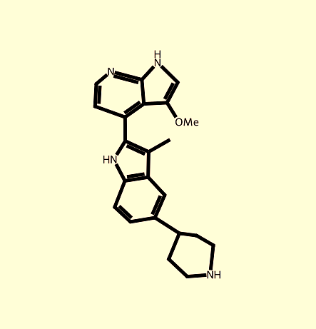 COc1c[nH]c2nccc(-c3[nH]c4ccc(C5CCNCC5)cc4c3C)c12